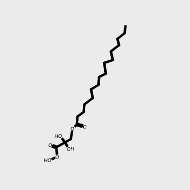 CCCCCCCCCCCCCCCC(=O)OCC(O)(O)C(=O)OO